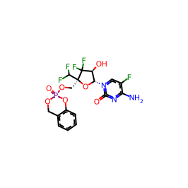 Nc1nc(=O)n([C@@H]2O[C@@](COP3(=O)OCc4ccccc4O3)(C(F)F)C(F)(F)[C@H]2O)cc1F